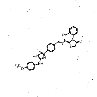 CC(C)c1ccccc1N1C(=O)CSC1=NN=Cc1ccc(-c2nc(Nc3ccc(OC(F)(F)F)cc3)n(C)n2)cc1